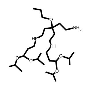 CCCOC(CCN)(CCPCCC(OC(C)C)OC(C)C)CCPCCC(OC(C)C)OC(C)C